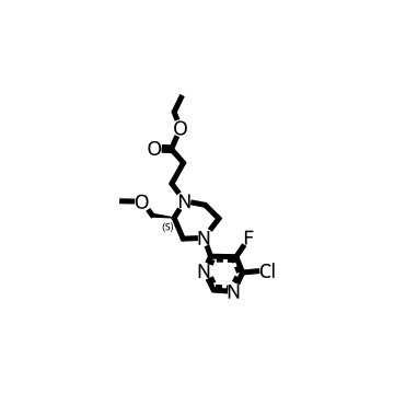 CCOC(=O)CCN1CCN(c2ncnc(Cl)c2F)C[C@H]1COC